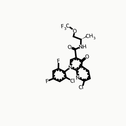 C[C@@H](COC(F)(F)F)NC(=O)c1cn(-c2c(F)cc(F)cc2Cl)c2nc(Cl)ccc2c1=O